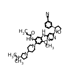 C=CC(=O)Nc1cc(Nc2cc(N3OCC[C@@H]3c3cccc(C#N)c3)ncn2)c(OC)cc1N1CCC(N2CC[C@@H](N(C)C)C2)CC1